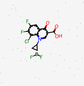 F[B]F.O=C(O)c1cn(C2CC2)c2c(Cl)c(F)c(F)cc2c1=O